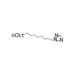 CCCCCCCCCCCCCCCCn1cncn1